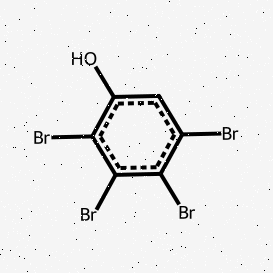 Oc1cc(Br)c(Br)c(Br)c1Br